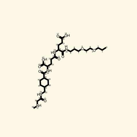 CCCOCCOCCCNC(=O)C(CCC(=O)O)NC(=O)CCC(NC(=O)C1CCC(CNC(=O)CNC)CC1)C(=O)O